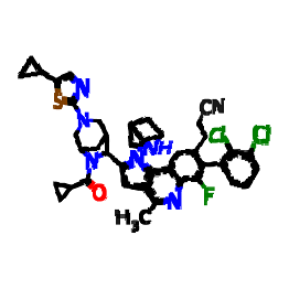 Cc1nc2c(F)c(-c3cccc(Cl)c3Cl)c(CCC#N)cc2c2c1cc(C1C3CC(CN(c4ncc(C5CC5)s4)C3)N1C(=O)C1CC1)n2C1C2CNC1C2